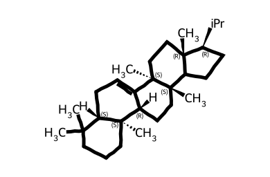 CC(C)[C@H]1CCC2[C@]1(C)CC[C@]1(C)C3=CC[C@H]4C(C)(C)CCC[C@]4(C)[C@H]3CC[C@@]21C